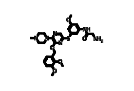 COc1cc(NC(=O)CN)cc(Sc2cnc(N3CCN(C)CC3)c(OCc3cccc(OC)c3OC)n2)c1